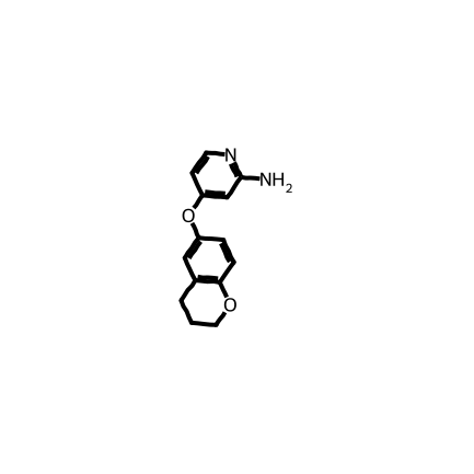 Nc1cc(Oc2ccc3c(c2)CCCO3)ccn1